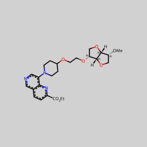 CCOC(=O)c1ccc2cncc(N3CCC(OCCO[C@@H]4CO[C@H]5[C@@H]4OC[C@H]5OC)CC3)c2n1